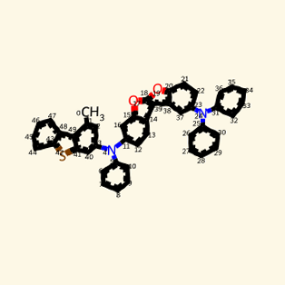 Cc1cc(N(c2ccccc2)c2ccc3c(c2)oc2oc4ccc(N(c5ccccc5)c5ccccc5)cc4c23)cc2sc3ccccc3c12